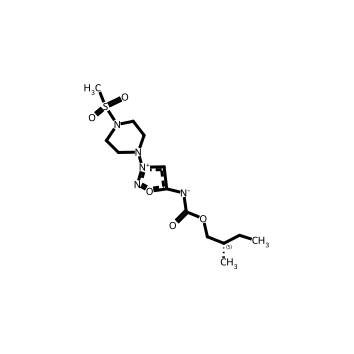 CC[C@H](C)COC(=O)[N-]c1c[n+](N2CCN(S(C)(=O)=O)CC2)no1